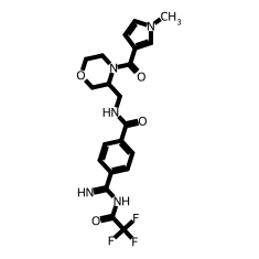 Cn1ccc(C(=O)N2CCOCC2CNC(=O)c2ccc(C(=N)NC(=O)C(F)(F)F)cc2)c1